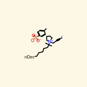 CCCCCCCCCCCCCCCC(C)(C)[N+]1(CC#CI)CCCC1.Cc1ccc(S(=O)(=O)[O-])cc1